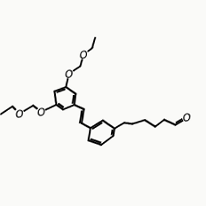 CCOCOc1cc(/C=C/c2cccc(CCCCCC=O)c2)cc(OCOCC)c1